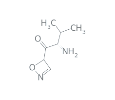 CC(C)[C@H](N)C(=O)C1C=NO1